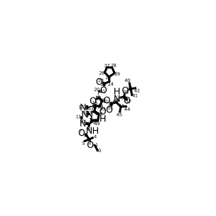 CCOC(C)(C)C(=O)Nc1ncnn2c([C@]3(C#N)O[C@H](COC(=O)CC4CCCC4)[C@@H](OC(=O)[C@@H](NC(=O)OC(C)(C)C)C(C)C)[C@H]3O)ccc12